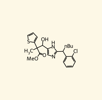 CCCCC(c1ncc(C(O)C(C)(C(=O)OC)c2cccs2)[nH]1)c1ccccc1Cl